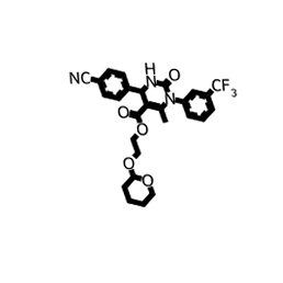 CC1=C(C(=O)OCCOC2CCCCO2)C(c2ccc(C#N)cc2)NC(=O)N1c1cccc(C(F)(F)F)c1